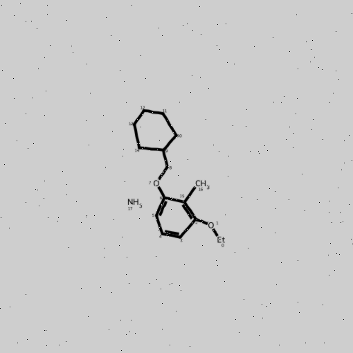 CCOc1cccc(OCC2CCCCC2)c1C.N